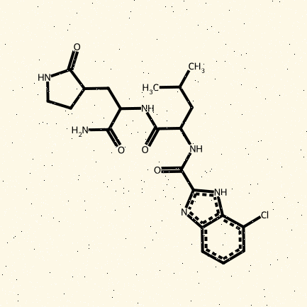 CC(C)CC(NC(=O)c1nc2cccc(Cl)c2[nH]1)C(=O)NC(CC1CCNC1=O)C(N)=O